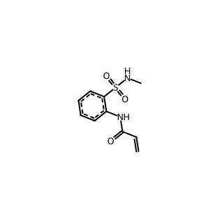 C=CC(=O)Nc1ccccc1S(=O)(=O)NC